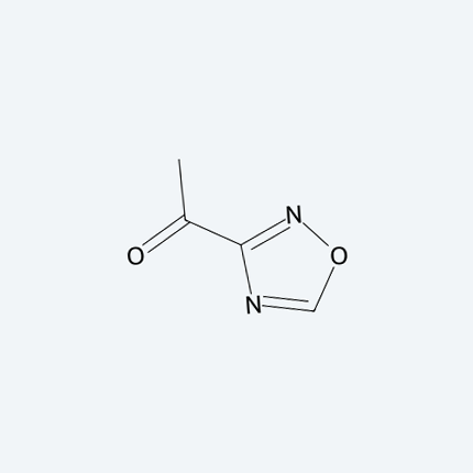 CC(=O)c1ncon1